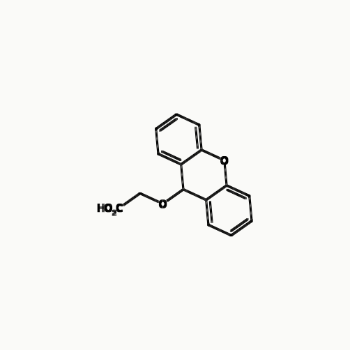 O=C(O)COC1c2ccccc2Oc2ccccc21